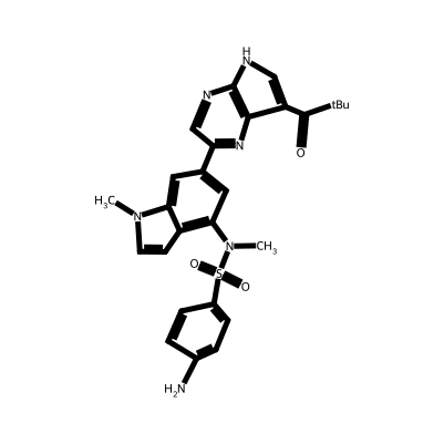 CN(c1cc(-c2cnc3[nH]cc(C(=O)C(C)(C)C)c3n2)cc2c1ccn2C)S(=O)(=O)c1ccc(N)cc1